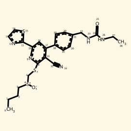 CCCC[S+]([O-])CSc1nc(-c2nccs2)cc(-c2ccc(CNC(=O)NCC)cc2)c1C#N